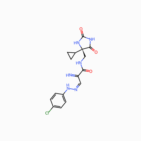 N=C(/C=N\Nc1ccc(Cl)cc1)C(=O)NC[C@@]1(C2CC2)NC(=O)NC1=O